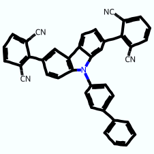 N#Cc1cccc(C#N)c1-c1ccc2c(c1)c1ccc(-c3c(C#N)cccc3C#N)cc1n2-c1ccc(-c2ccccc2)cc1